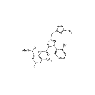 CNC(=O)c1cc(I)cc(C)c1NC(=O)c1cc(Cn2nnc(C(F)(F)F)n2)nn1-c1ncccc1Br